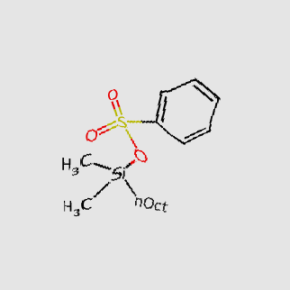 CCCCCCCC[Si](C)(C)OS(=O)(=O)c1ccccc1